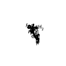 CCOc1c(CC(N)=O)cc([C@@](O)(CNC(=O)c2cc(OC)c3nn(CC(F)(F)F)cc3c2)C(F)(F)F)nc1-c1ccc(F)cc1